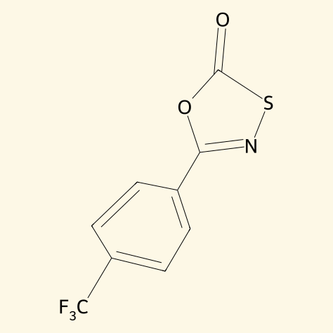 O=c1oc(-c2ccc(C(F)(F)F)cc2)ns1